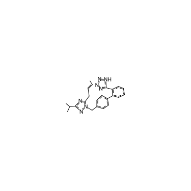 CC=CCc1nc(C(C)C)nn1Cc1ccc(-c2ccccc2-c2nnn[nH]2)cc1